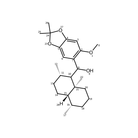 COc1cc2c(cc1C(O)C1[C@@H](C)CC[C@H]3[C@@H](C)CCC[C@]13C)OC(C)(C)O2